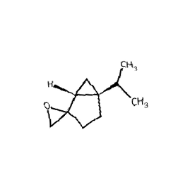 CC(C)[C@@]12CCC3(CO3)[C@@H]1C2